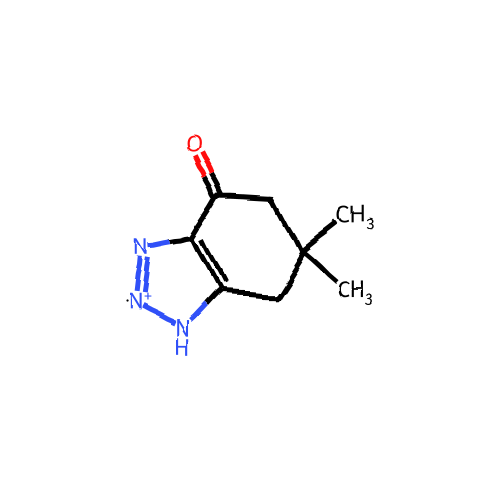 CC1(C)CC(=O)C2=C(C1)N[N+]=N2